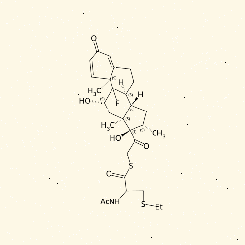 CCSCC(NC(C)=O)C(=O)SCC(=O)[C@@]1(O)[C@@H](C)C[C@H]2[C@@H]3CCC4=CC(=O)C=C[C@]4(C)C3(F)[C@@H](O)C[C@@]21C